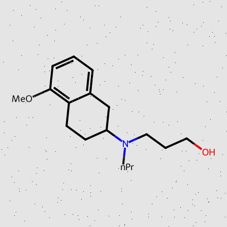 CCCN(CCCO)C1CCc2c(cccc2OC)C1